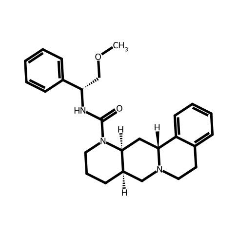 COC[C@H](NC(=O)N1CCC[C@@H]2CN3CCc4ccccc4[C@H]3C[C@@H]21)c1ccccc1